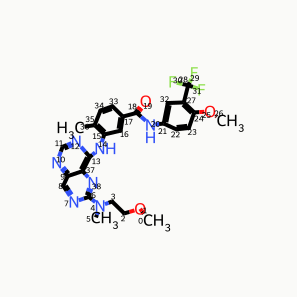 COCCN(C)c1ncc2ncnc(Nc3cc(C(=O)Nc4ccc(OC)c(C(F)(F)F)c4)ccc3C)c2n1